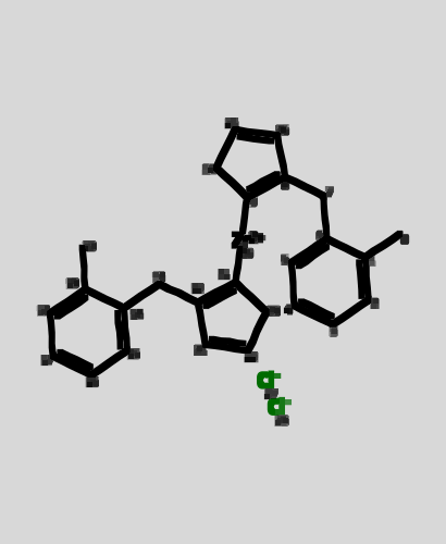 Cc1ccccc1CC1=[C]([Zr+2][C]2=C(Cc3ccccc3C)C=CC2)CC=C1.[Cl-].[Cl-]